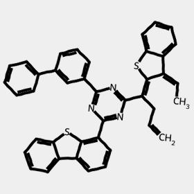 C=CC/C(c1nc(-c2cccc(-c3ccccc3)c2)nc(-c2cccc3c2sc2ccccc23)n1)=c1/sc2ccccc2/c1=C/C